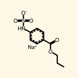 CCCOC(=O)c1ccc(NS(=O)(=O)[O-])cc1.[Na+]